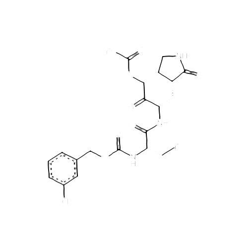 CC(C)C[C@H](NC(=O)OCc1cccc(Cl)c1)C(=O)N[C@@H](C[C@@H]1CCNC1=O)C(=O)COC(=O)C(C)C